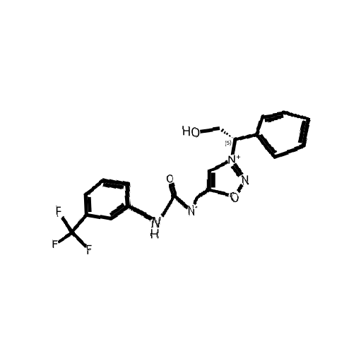 O=C([N-]c1c[n+]([C@H](CO)c2ccccc2)no1)Nc1cccc(C(F)(F)F)c1